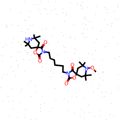 CON1C(C)(C)CC2(CC1(C)C)OC(=O)N(CCCCCCN1C(=O)OC3(CC(C)(C)NC(C)(C)C3)C1=O)C2=O